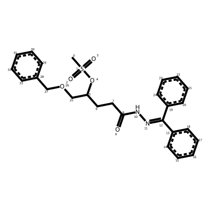 CS(=O)(=O)OC(CCC(=O)NN=C(c1ccccc1)c1ccccc1)COCc1ccccc1